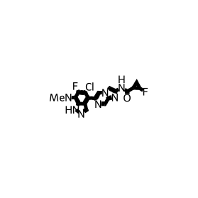 CNc1c(F)c(Cl)c(-c2cn3cc(NC(=O)C4CC4F)nc3cn2)c2cn[nH]c12